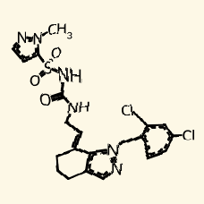 Cn1nccc1S(=O)(=O)NC(=O)NCC=C1CCCc2cnn(Cc3ccc(Cl)cc3Cl)c21